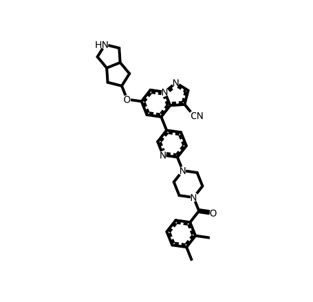 Cc1cccc(C(=O)N2CCN(c3ccc(-c4cc(OC5CC6CNCC6C5)cn5ncc(C#N)c45)cn3)CC2)c1C